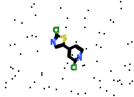 Clc1cc(-c2cnc(Cl)s2)ccn1